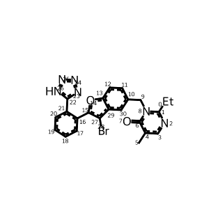 CCc1ncc(C)c(=O)n1Cc1ccc2oc(-c3ccccc3-c3nnn[nH]3)c(Br)c2c1